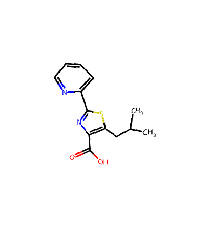 CC(C)Cc1sc(-c2ccccn2)nc1C(=O)O